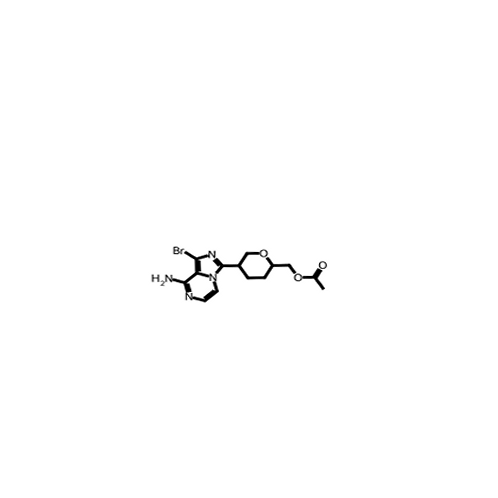 CC(=O)OCC1CCC(c2nc(Br)c3c(N)nccn23)CO1